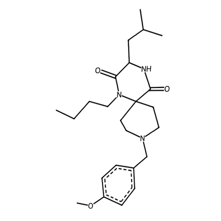 CCCCN1C(=O)C(CC(C)C)NC(=O)C12CCN(Cc1ccc(OC)cc1)CC2